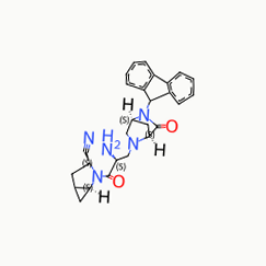 N#C[C@@H]1CC2C[C@@H]2N1C(=O)[C@@H](N)CN1C[C@@H]2C[C@H]1C(=O)N2C1c2ccccc2-c2ccccc21